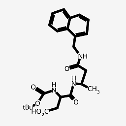 CC(CC(=O)NCc1cccc2ccccc12)NC(=O)C(CC(=O)O)NC(=O)OC(C)(C)C